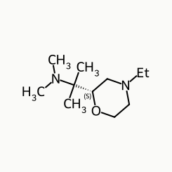 CCN1CCO[C@H](C(C)(C)N(C)C)C1